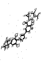 CC(C)N(C(=O)N(C(=O)c1cc(-c2cnn(-c3c(Cl)cc(C(F)(C(F)(F)F)C(F)(F)F)cc3Cl)c2)cnc1Cl)C1CC1)C(C)C